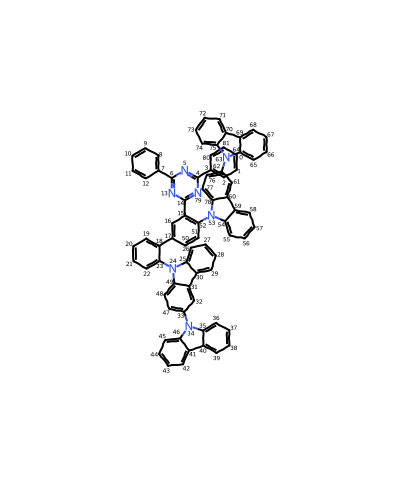 c1ccc(-c2nc(-c3ccccc3)nc(-c3cc(-c4ccccc4-n4c5ccccc5c5cc(-n6c7ccccc7c7ccccc76)ccc54)ccc3-n3c4ccccc4c4cc(-n5c6ccccc6c6ccccc65)ccc43)n2)cc1